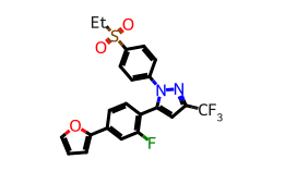 CCS(=O)(=O)c1ccc(-n2nc(C(F)(F)F)cc2-c2ccc(-c3ccco3)cc2F)cc1